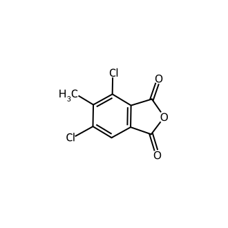 Cc1c(Cl)cc2c(c1Cl)C(=O)OC2=O